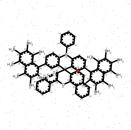 Bc1c(B)c(B)c2c(-c3ccc4c(c3)C3(c5cc(-c6c(B)c(B)c(B)c7c(B)c(B)c(B)c(B)c67)ccc5N4c4ccccc4)c4ccc5ccccc5c4Oc4c3ccc3ccccc43)c(B)c(B)c(B)c2c1B